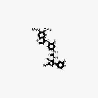 COc1cc2nccc(Oc3ccc(NC(=O)Nc4c(-c5cccc(F)c5)nc(C(C)C)n4C)cc3F)c2cc1OC